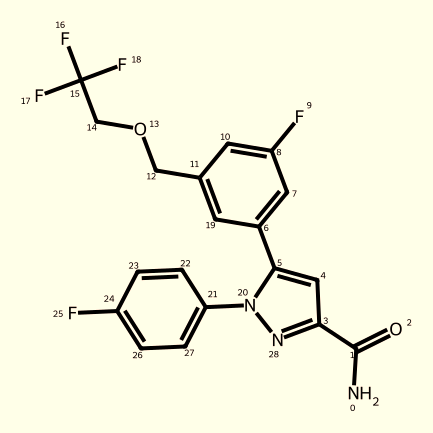 NC(=O)c1cc(-c2cc(F)cc(COCC(F)(F)F)c2)n(-c2ccc(F)cc2)n1